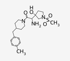 Cc1ccc(CC2CCN(C(=O)C(N)C3(O)CCN(S(C)(=O)=O)C3)CC2)cc1